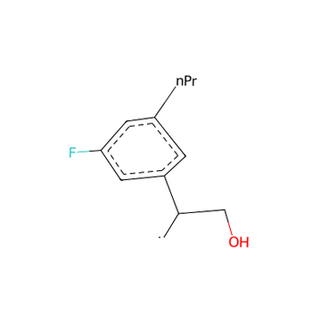 [CH2]C(CO)c1cc(F)cc(CCC)c1